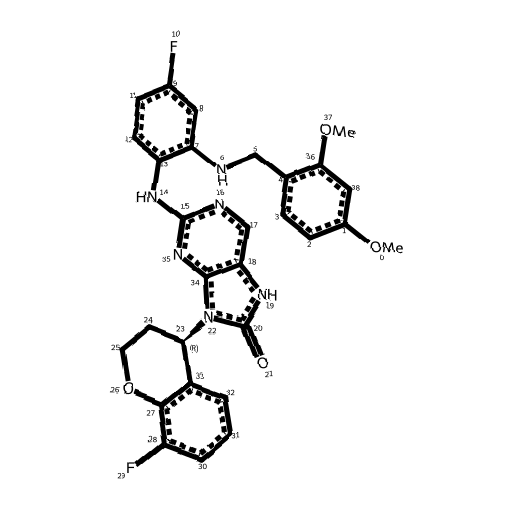 COc1ccc(CNc2cc(F)ccc2Nc2ncc3[nH]c(=O)n([C@@H]4CCOc5c(F)cccc54)c3n2)c(OC)c1